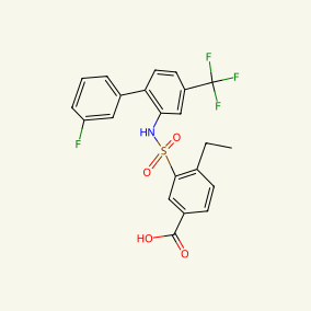 CCc1ccc(C(=O)O)cc1S(=O)(=O)Nc1cc(C(F)(F)F)ccc1-c1cccc(F)c1